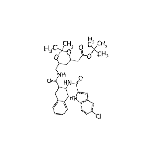 CC(C)(C)OC(=O)CC1CC(CNC(=O)C2Cc3ccccc3CC2NC(=O)c2cc3cc(Cl)ccc3[nH]2)OC(C)(C)O1